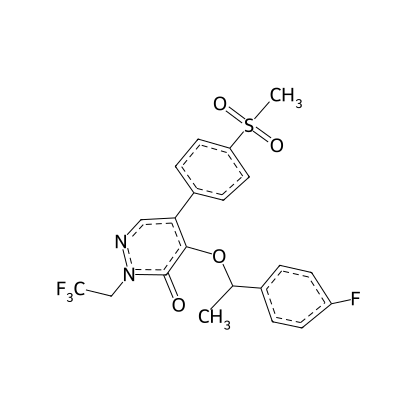 CC(Oc1c(-c2ccc(S(C)(=O)=O)cc2)cnn(CC(F)(F)F)c1=O)c1ccc(F)cc1